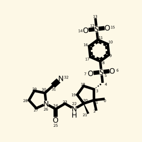 CC1(C)[C@@H](CS(=O)(=O)c2ccc(S(C)(=O)=O)cc2)CC[C@@]1(C)NCC(=O)N1CCCC1C#N